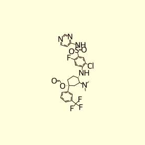 CN(C)[C@H]1C[C@@](OC=O)(c2cccc(C(F)(F)F)c2)CC[C@@H]1Nc1cc(F)c(S(=O)(=O)Nc2ccncn2)cc1Cl